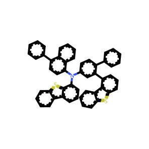 c1ccc(-c2ccc(N(c3ccc(-c4ccccc4)c4ccccc34)c3cccc4c3sc3ccccc34)cc2-c2cccc3sc4ccccc4c23)cc1